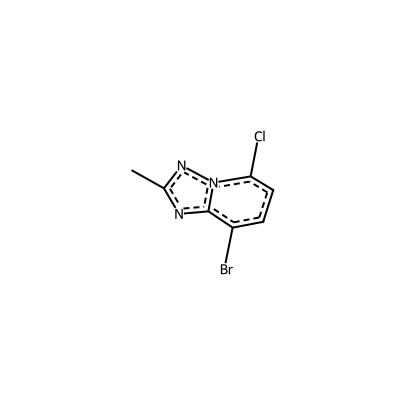 Cc1nc2c(Br)ccc(Cl)n2n1